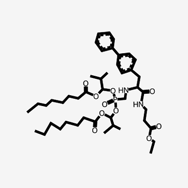 CCCCCCCC(=O)OC(OP(=O)(CNC(Cc1ccc(-c2ccccc2)cc1)C(=O)NCCC(=O)OCC)OC(OC(=O)CCCCCCC)C(C)C)C(C)C